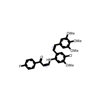 COc1cc(N/C=C\C(=O)c2ccc(F)cc2)c(/C=C\c2cc(OC)c(OC)c(OC)c2)cc1Cl